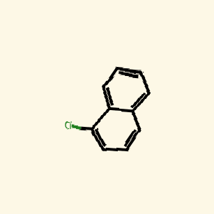 Clc1cccc2c[c]ccc12